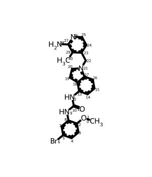 COc1ccc(Br)cc1NC(=O)Nc1cccc2c1ccn2Cc1ccnc(N)c1C